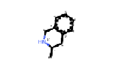 [CH2]C1Cc2ccccc2CN1